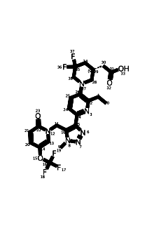 CCc1nc(-c2nnn(C)c2Cn2cc(OC(F)(F)F)ccc2=O)ccc1N1C[C@@H](CC(=O)O)CC(F)(F)C1